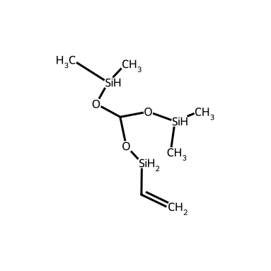 C=C[SiH2]OC(O[SiH](C)C)O[SiH](C)C